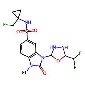 CCn1c(=O)n(C2NNC(C(F)F)O2)c2cc(S(=O)(=O)NC3(CF)CC3)ccc21